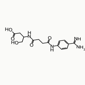 N=C(N)c1ccc(NC(=O)CCC(=O)NC(CO)CC(=O)O)cc1